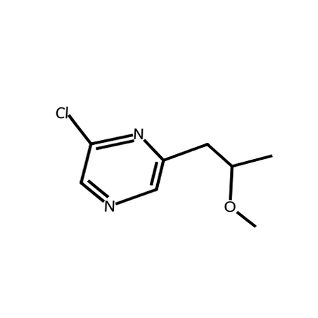 COC(C)Cc1cncc(Cl)n1